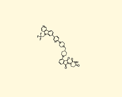 O=C1CCN(N2C(=O)c3cccc(N4CCC(CN5CCN(c6ccc(-c7ccc8c9cnccc9n(CC(F)(F)F)c8c7)cn6)CC5)CC4)c3C2=O)C(=O)N1